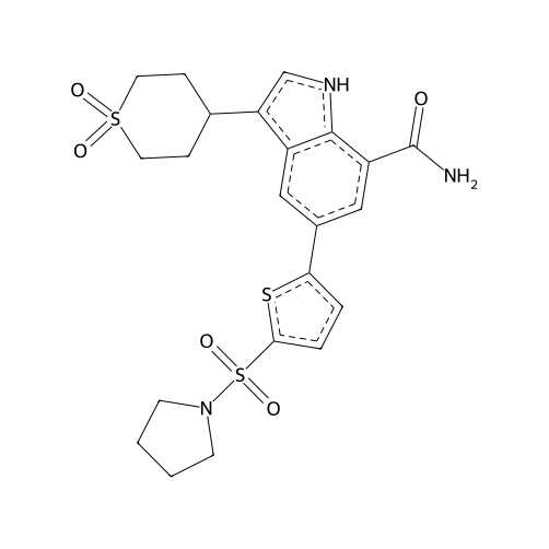 NC(=O)c1cc(-c2ccc(S(=O)(=O)N3CCCC3)s2)cc2c(C3CCS(=O)(=O)CC3)c[nH]c12